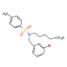 Cc1ccc(S(=O)(=O)N(CCCCC(=O)O)Cc2cccc(Br)c2)cc1